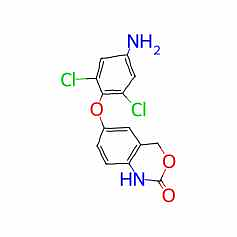 Nc1cc(Cl)c(Oc2ccc3c(c2)COC(=O)N3)c(Cl)c1